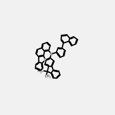 CC1(C)c2ccccc2-c2cc(N(c3cccc(-c4cccc5ccccc45)c3)c3cccc4ccc5c6ccccc6oc5c34)ccc21